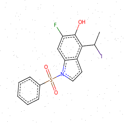 CC(I)c1c(O)c(F)cc2c1ccn2S(=O)(=O)c1ccccc1